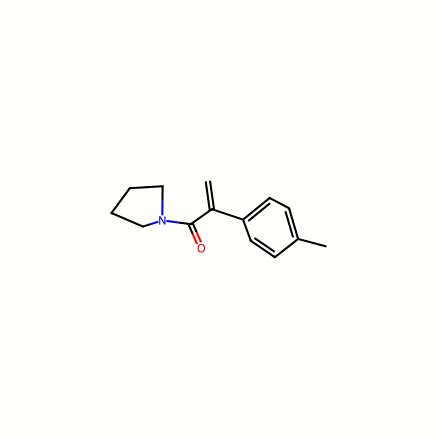 C=C(C(=O)N1CCCC1)c1ccc(C)cc1